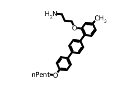 CCCCCOc1ccc(-c2ccc(-c3ccc(C)cc3OCCCN)cc2)cc1